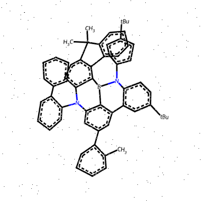 Cc1ccccc1-c1cc2c3c(c1)N(c1ccccc1-c1ccccc1)c1ccc4c(c1B3N(c1ccc(C(C)(C)C)cc1)c1ccc(C(C)(C)C)cc1-2)-c1ccccc1C4(C)C